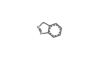 c1ccc2c(c1)CN=P2